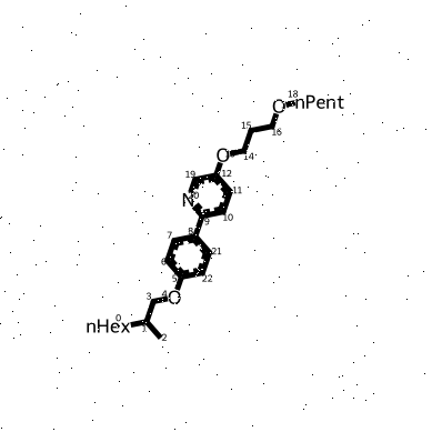 CCCCCCC(C)COc1ccc(-c2ccc(OCCCOCCCCC)cn2)cc1